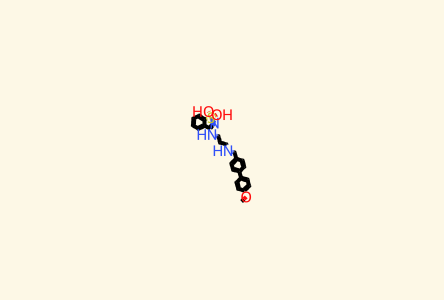 COc1ccc(-c2ccc(CNCCCNC3=NS(O)(O)c4ccccc43)cc2)cc1